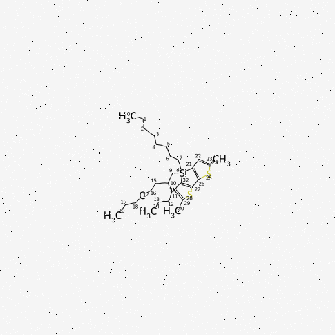 CCCCCCCC[Si]1(CC(CCCC)CCCCCC)c2cc(C)sc2-c2sc(C)cc21